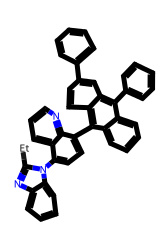 CCc1nc2ccccc2n1-c1ccc(-c2c3ccccc3c(-c3ccccc3)c3cc(-c4ccccc4)ccc23)c2ncccc12